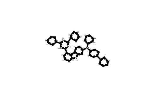 c1ccc(-c2ccc(N(c3ccccc3)c3ccc4c(c3)sc3cccc(-c5nc(-c6ccccc6)nc(-c6ccccc6)n5)c34)cc2)cc1